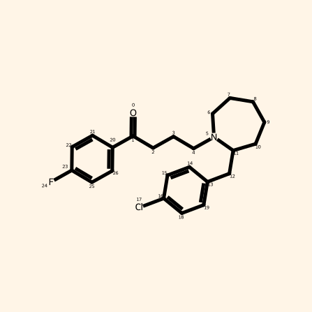 O=C(CCCN1CCCCCC1Cc1ccc(Cl)cc1)c1ccc(F)cc1